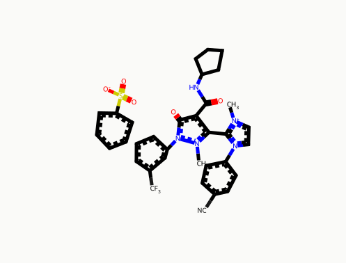 Cn1c(-c2n(-c3ccc(C#N)cc3)cc[n+]2C)c(C(=O)NC2CCCC2)c(=O)n1-c1cccc(C(F)(F)F)c1.O=S(=O)([O-])c1ccccc1